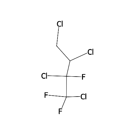 FC(F)(Cl)C(F)(Cl)C(Cl)CCl